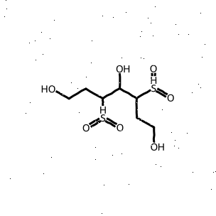 O=[SH](=O)C(CCO)C(O)C(CCO)[SH](=O)=O